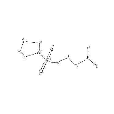 CC(C)CCCS(=O)(=O)N1CCCC1